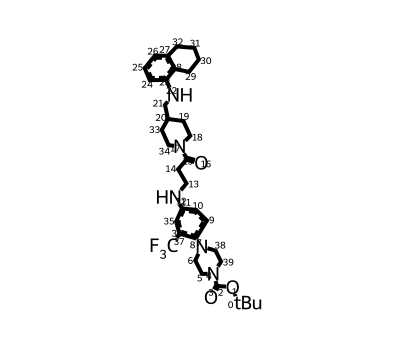 CC(C)(C)OC(=O)N1CCN(c2ccc(NCCC(=O)N3CCC(CNc4cccc5c4CCCC5)CC3)cc2C(F)(F)F)CC1